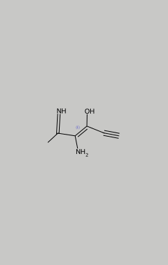 C#C/C(O)=C(\N)C(C)=N